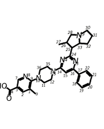 Cc1cc(C(=O)O)cnc1N1CCN(c2cc(-c3ccccc3)nc(C3C(C)CN4CCCC34)n2)CC1